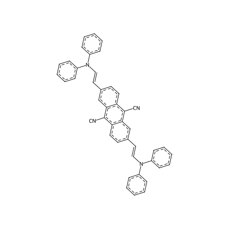 [C-]#[N+]c1c2ccc(C=CN(c3ccccc3)c3ccccc3)cc2c(C#N)c2ccc(C=CN(c3ccccc3)c3ccccc3)cc12